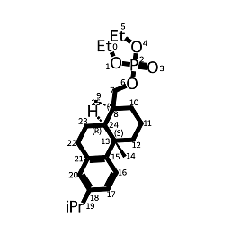 CCOP(=O)(OCC)OC[C@@]1(C)CCC[C@]2(C)c3ccc(C(C)C)cc3CC[C@@H]12